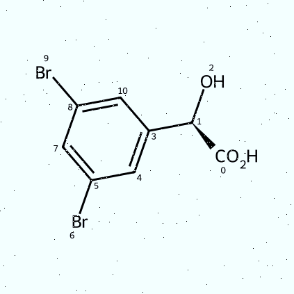 O=C(O)[C@H](O)c1cc(Br)cc(Br)c1